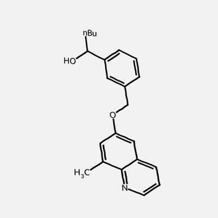 CCCCC(O)c1cccc(COc2cc(C)c3ncccc3c2)c1